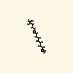 CC(C)(C)CCCOCCCCCCCOF